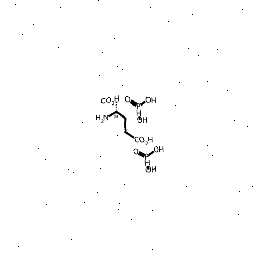 N[C@@H](CCC(=O)O)C(=O)O.O=[PH](O)O.O=[PH](O)O